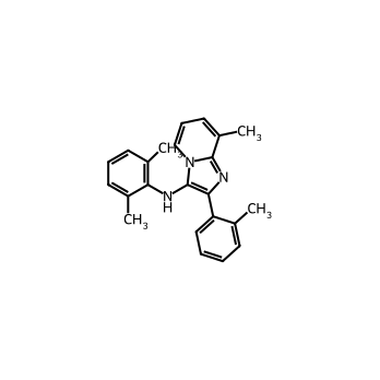 Cc1ccccc1-c1nc2c(C)cccn2c1Nc1c(C)cccc1C